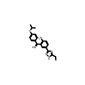 CCc1nc(-c2ccc(N)c(C(=N)c3ccc(OC(C)C)cc3)c2)n[nH]1